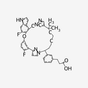 CC1(C)CCCCCC(c2cccc(CCC(=O)O)c2)n2ccc(n2)-c2cc(ccc2F)Oc2c(F)cc3[nH]ccc3c2Cn2cc1cn2